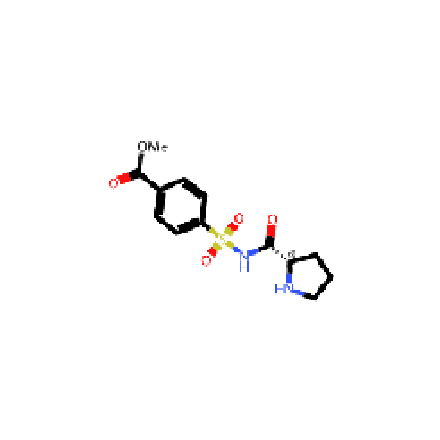 COC(=O)c1ccc(S(=O)(=O)NC(=O)[C@@H]2CCCN2)cc1